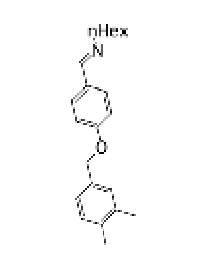 CCCCCCN=Cc1ccc(OCc2ccc(C)c(C)c2)cc1